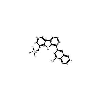 CC(C)(C)c1cc(-c2nccc3c2sc2c(CS(C)(C)C)cccc23)cc2ccccc12